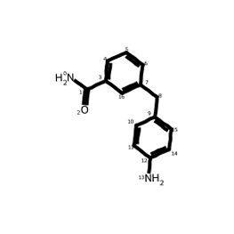 NC(=O)c1cccc(Cc2ccc(N)cc2)c1